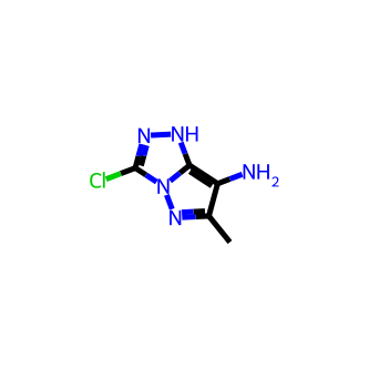 Cc1nn2c(Cl)n[nH]c2c1N